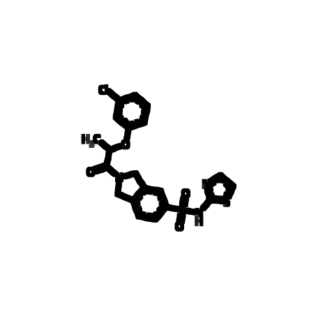 CC(Oc1cccc(Cl)c1)C(=O)N1Cc2ccc(S(=O)(=O)Nc3nccs3)cc2C1